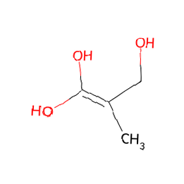 CC(CO)=C(O)O